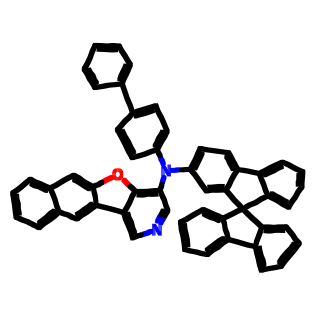 c1ccc(-c2ccc(N(c3ccc4c(c3)C3(c5ccccc5-c5ccccc53)c3ccccc3-4)c3cncc4c3oc3cc5ccccc5cc34)cc2)cc1